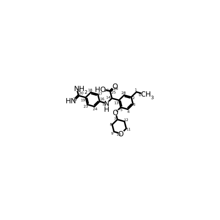 CCc1ccc(OC2CCOCC2)c(C(Nc2ccc(C(=N)N)cc2)C(=O)O)c1